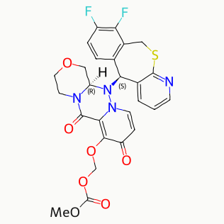 COC(=O)OCOc1c2n(ccc1=O)N([C@@H]1c3cccnc3SCc3c1ccc(F)c3F)[C@@H]1COCCN1C2=O